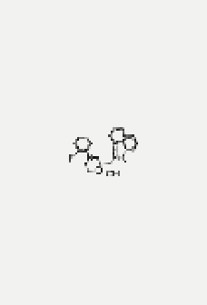 C[C@@H](NCC1CN(c2ccccc2F)CCO1)c1cccc2ccccc12.Cl